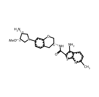 CO[C@H]1CN(c2ccc3c(c2)OC[C@H](NC(=O)c2sc4nc(C)ccc4c2N)C3)C[C@H]1N